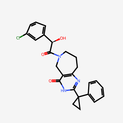 O=C([C@H](O)c1cccc(Cl)c1)N1CCCc2nc(C3(c4ccccc4)CC3)[nH]c(=O)c2C1